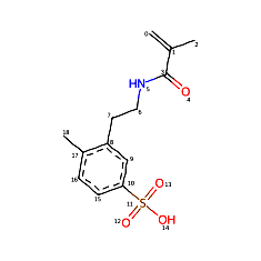 C=C(C)C(=O)NCCc1cc(S(=O)(=O)O)ccc1C